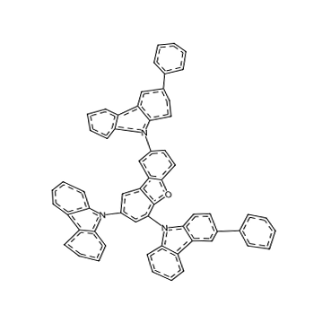 c1ccc(-c2ccc3c(c2)c2ccccc2n3-c2ccc3oc4c(-n5c6ccccc6c6cc(-c7ccccc7)ccc65)cc(-n5c6ccccc6c6ccccc65)cc4c3c2)cc1